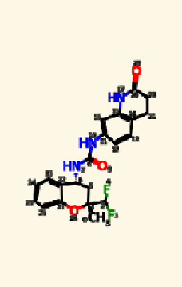 C[C@]1(C(F)F)C[C@@H](NC(=O)Nc2ccc3c(c2)NC(=O)CC3)c2ccccc2O1